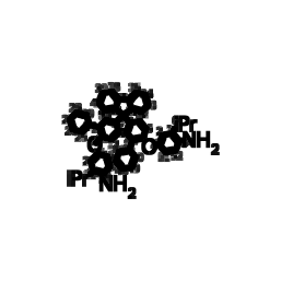 CC(C)c1cc(Oc2ccc(C3(c4ccc(Oc5ccc(N)c(C(C)C)c5)c(-c5ccccc5)c4)c4ccccc4-c4ccccc43)cc2-c2ccccc2)ccc1N